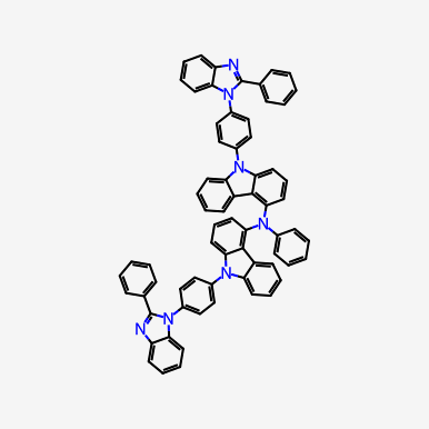 c1ccc(-c2nc3ccccc3n2-c2ccc(-n3c4ccccc4c4c(N(c5ccccc5)c5cccc6c5c5ccccc5n6-c5ccc(-n6c(-c7ccccc7)nc7ccccc76)cc5)cccc43)cc2)cc1